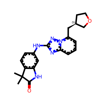 CC1(C)C(=O)Nc2cc(Nc3nc4cccc(C[C@H]5CCOC5)n4n3)ccc21